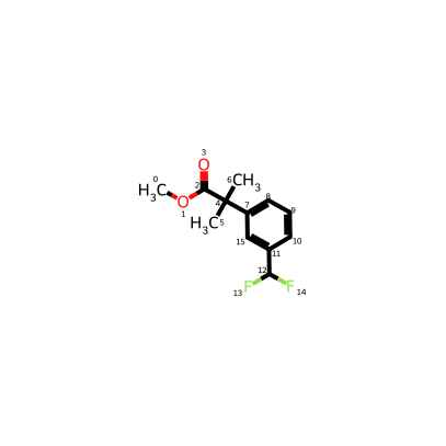 COC(=O)C(C)(C)c1cccc(C(F)F)c1